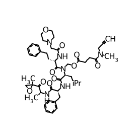 C#CCN(C)C(=O)CCC(=O)OCN(C(=O)[C@H](CCc1ccccc1)NC(=O)CN1CCOCC1)[C@@H](CC(C)C)C(=O)N[C@@H](Cc1ccccc1)C(=O)N[C@@H](C)C(=O)[C@@]1(C)CO1